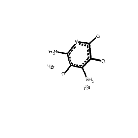 Br.Br.Nc1nc(Cl)c(Cl)c(N)c1Cl